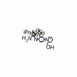 CC(C)n1ncc(/N=C2C=C/C(=[N+]3/CCCCC3CO)C=C/2NS(C)(=O)=O)c1N